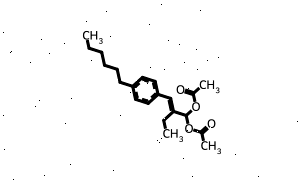 CCCCCCc1ccc(/C=C(\CC)C(OC(C)=O)OC(C)=O)cc1